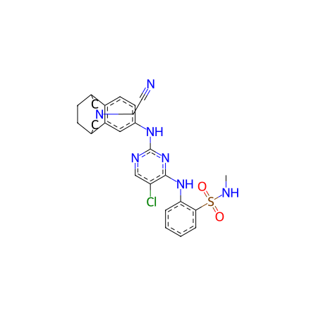 CNS(=O)(=O)c1ccccc1Nc1nc(Nc2ccc3c(c2)C2CCC3CN(CC#N)C2)ncc1Cl